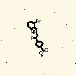 COC(=O)c1ccc(C(F)Cn2cc3c(Br)cccc3n2)cc1